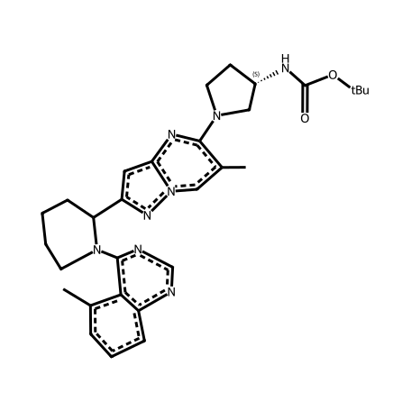 Cc1cn2nc(C3CCCCN3c3ncnc4cccc(C)c34)cc2nc1N1CC[C@H](NC(=O)OC(C)(C)C)C1